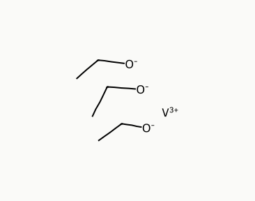 CC[O-].CC[O-].CC[O-].[V+3]